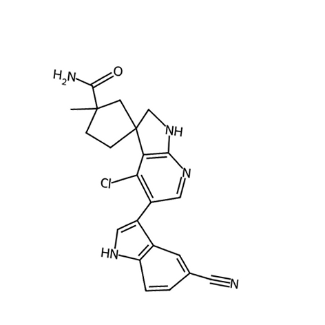 CC1(C(N)=O)CCC2(CNc3ncc(-c4c[nH]c5ccc(C#N)cc45)c(Cl)c32)C1